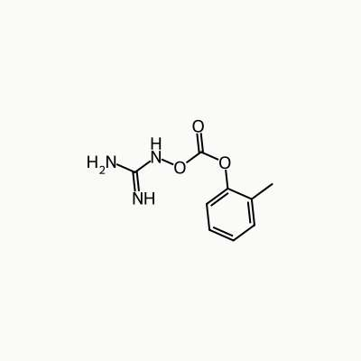 Cc1ccccc1OC(=O)ONC(=N)N